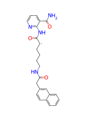 NC(=O)c1cccnc1NC(=O)[CH]CCCCNC(=O)Cc1ccc2ccccc2c1